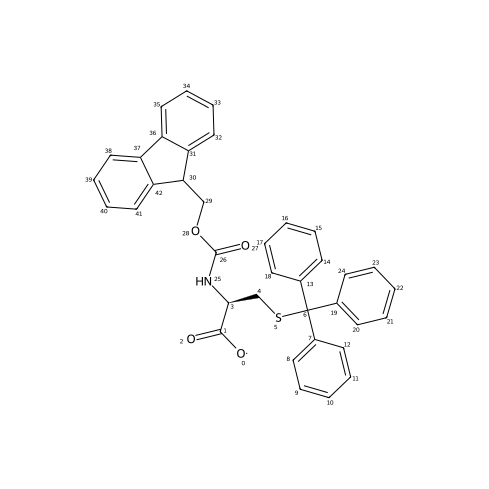 [O]C(=O)[C@H](CSC(c1ccccc1)(c1ccccc1)c1ccccc1)NC(=O)OCC1c2ccccc2-c2ccccc21